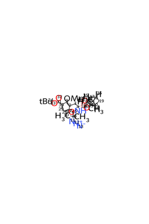 COc1c(C[C@H](NC(=O)C(C)(C)N=[N+]=[N-])B2O[C@@H]3C[C@@H]4C[C@@H](C4(C)C)[C@]3(C)O2)cccc1C(=O)OC(C)(C)C